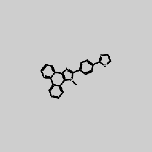 Cn1c(-c2ccc(C3=NCCO3)cc2)nc2c3ccccc3c3ccccc3c21